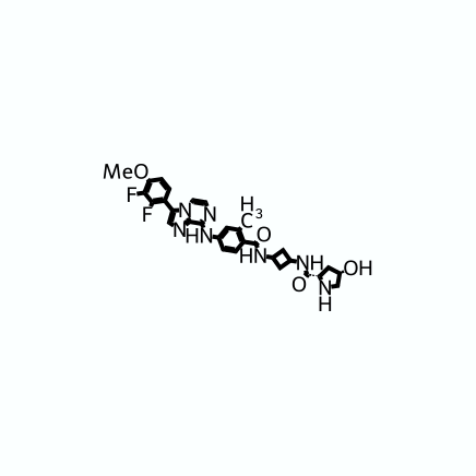 COc1ccc(-c2cnc3c(Nc4ccc(C(=O)NC5CC(NC(=O)[C@@H]6C[C@@H](O)CN6)C5)c(C)c4)nccn23)c(F)c1F